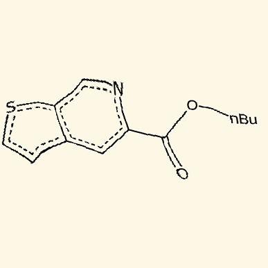 CCCCOC(=O)c1cc2ccsc2cn1